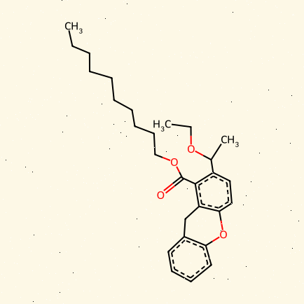 CCCCCCCCCCOC(=O)c1c(C(C)OCC)ccc2c1Cc1ccccc1O2